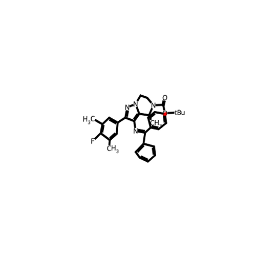 Cc1cc(-c2nn3c(c2N=C(c2ccccc2)c2ccccc2)C(C)N(C(=O)OC(C)(C)C)CC3)cc(C)c1F